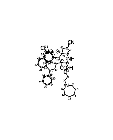 CC1NC(COCCN2CCCCCC2)C(CCC(c2ccccc2)c2ccccc2)(C(=O)O)C(c2cccc(Cl)c2)C1(CCC#N)C(=O)O